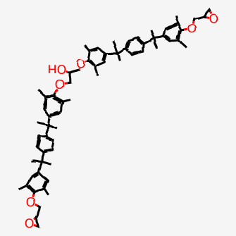 Cc1cc(C(C)(C)c2ccc(C(C)(C)c3cc(C)c(OCC4CO4)c(C)c3)cc2)cc(C)c1OCC(O)COc1c(C)cc(C(C)(C)c2ccc(C(C)(C)c3cc(C)c(OCC4CO4)c(C)c3)cc2)cc1C